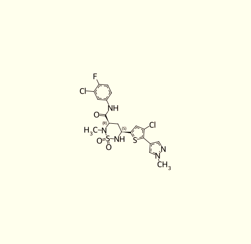 CN1[C@@H](C(=O)Nc2ccc(F)c(Cl)c2)C[C@@H](c2cc(Cl)c(-c3cnn(C)c3)s2)NS1(=O)=O